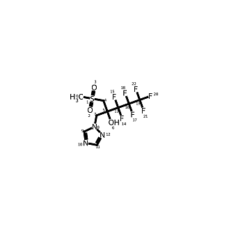 CS(=O)(=O)CC(O)(Cn1cncn1)C(F)(F)C(F)(F)C(F)(F)F